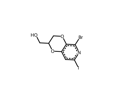 OCC1COc2c(cc(I)nc2Br)O1